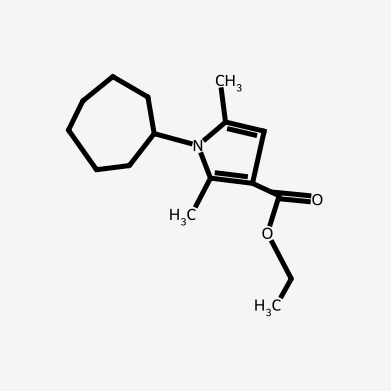 CCOC(=O)c1cc(C)n(C2CCCCCC2)c1C